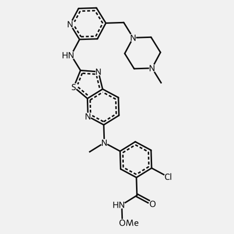 CONC(=O)c1cc(N(C)c2ccc3nc(Nc4cc(CN5CCN(C)CC5)ccn4)sc3n2)ccc1Cl